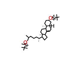 CC(CCC[C@@H](C)C1CCC2C3=CC[C@H]4C[C@@H](O[Si](C)(C)C(C)(C)C)CC[C@]4(C)C3CC[C@@]21C)CO[Si](C)(C)C(C)(C)C